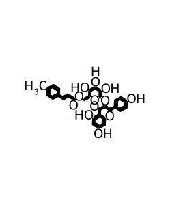 Cc1ccc(/C=C/C(=O)OCC2OC(OC3C(=O)c4c(O)cc(O)cc4OC3c3ccc(O)cc3)C(O)C(O)C2O)cc1